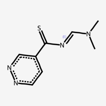 CN(C)/C=N/C(=S)c1ccnnc1